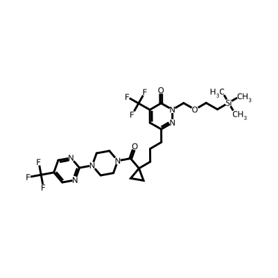 C[Si](C)(C)CCOCn1nc(CCCC2(C(=O)N3CCN(c4ncc(C(F)(F)F)cn4)CC3)CC2)cc(C(F)(F)F)c1=O